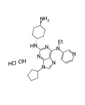 CCN(c1cccnc1)c1nc(N[C@H]2CC[C@H](N)CC2)nc2c1ncn2C1CCCC1.Cl.Cl